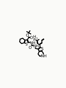 C=C/C=C(\C=C(/C)P)c1sc2c(c1CNC(=O)Nc1sc3c(c1C(=O)OC(C)(C)C)CCCC3)CCNC2